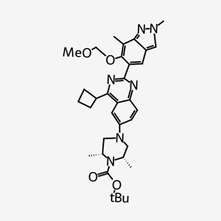 COCOc1c(-c2nc(C3CCC3)c3cc(N4C[C@@H](C)N(C(=O)OC(C)(C)C)[C@@H](C)C4)ccc3n2)cc2cn(C)nc2c1C